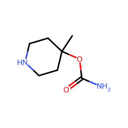 CC1(OC(N)=O)CCNCC1